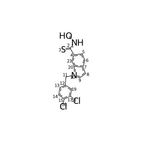 ONC(=S)c1ccc2ccn(Cc3ccc(Cl)c(Cl)c3)c2c1